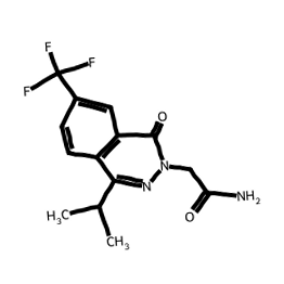 CC(C)c1nn(CC(N)=O)c(=O)c2cc(C(F)(F)F)ccc12